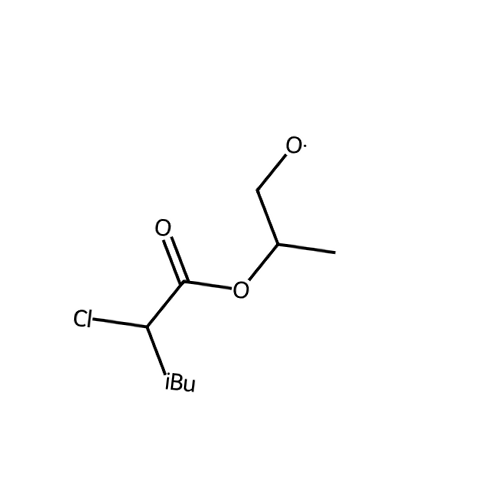 CCC(C)C(Cl)C(=O)OC(C)C[O]